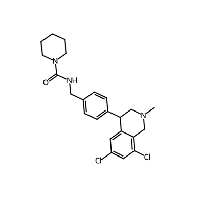 CN1Cc2c(Cl)cc(Cl)cc2C(c2ccc(CNC(=O)N3CCCCC3)cc2)C1